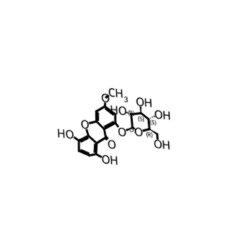 COc1cc(O[C@@H]2O[C@H](CO)[C@@H](O)[C@H](O)[C@H]2O)c2c(=O)c3c(O)ccc(O)c3oc2c1